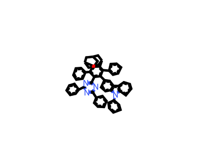 c1ccc(-c2nc(-c3ccccc3)nc(-c3c(-c4ccc5c(c4)c4ccccc4n5-c4ccccc4)c(-c4ccccc4)c4c(c3-c3ccccc3)C3CC5CC(CC4C5)C3)n2)cc1